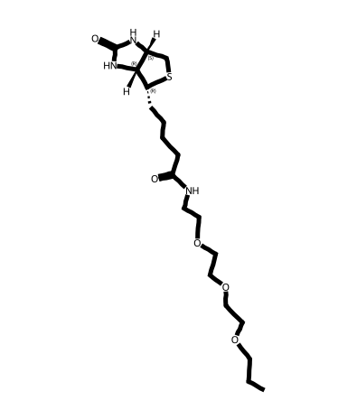 CCCOCCOCCOCCNC(=O)CCCC[C@H]1SC[C@H]2NC(=O)N[C@H]21